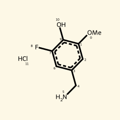 COc1cc(CN)cc(F)c1O.Cl